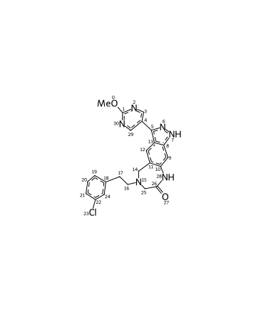 COc1ncc(-c2n[nH]c3cc4c(cc23)CN(CCc2cccc(Cl)c2)CC(=O)N4)cn1